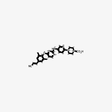 Cc1cc(/C=C/C#N)cc(C)c1Oc1ccnc(Nc2ccc(N3CCN(C(=O)O)CC3)nc2)n1